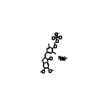 COc1cc2c(cc1OC)C(=O)C(=Cc1cc(C)c(OCOP(=O)([O-])[O-])c(C)c1)C2.[Na+].[Na+]